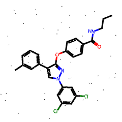 CCCNC(=O)c1ccc(Oc2nn(-c3cc(Cl)cc(Cl)c3)cc2-c2cccc(C)c2)cc1